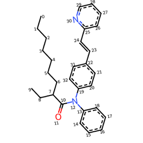 CCCCCCCC(CC)C(=O)N(c1ccccc1)c1ccc(/C=C/c2ccccn2)cc1